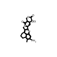 CC[C@H]1C(=O)OCc2c1cc1n(c2=O)Cc2c-1nc1cc(P)c(C)c3c1c2CCC3